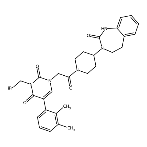 Cc1cccc(-c2cn(CC(=O)N3CCC(N4CCc5ccccc5NC4=O)CC3)c(=O)n(CC(C)C)c2=O)c1C